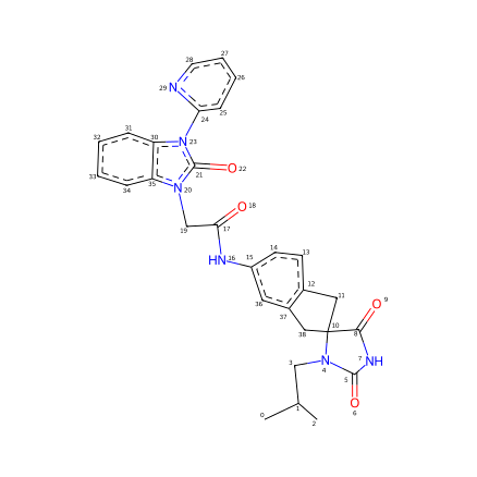 CC(C)CN1C(=O)NC(=O)C12Cc1ccc(NC(=O)Cn3c(=O)n(-c4ccccn4)c4ccccc43)cc1C2